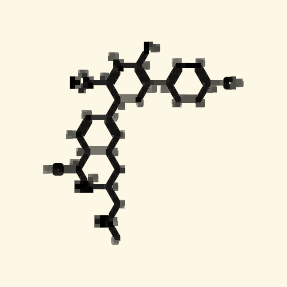 CNCC1Cc2cc(-c3cc(-c4ccc(Cl)cc4)c(F)nc3N)ccc2C(=O)N1